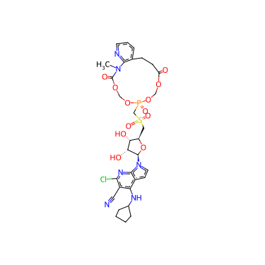 CN1C(=O)OCOP(=O)(CS(=O)(=O)C[C@H]2O[C@@H](n3ccc4c(NC5CCCC5)c(C#N)c(Cl)nc43)[C@H](O)[C@@H]2O)OCOC(=O)CCc2cccnc21